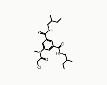 CCC(C)CNC(=O)c1cc(C(=O)NCC(C)CC)cc(N(C)C(=O)CCl)c1